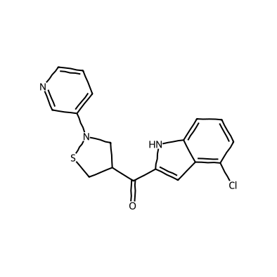 O=C(c1cc2c(Cl)cccc2[nH]1)C1CSN(c2cccnc2)C1